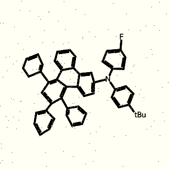 CC(C)(C)c1ccc(N(c2ccc(F)cc2)c2ccc3c(c2)c2ccccc2c2c(C4=CC=CCC4)cc(-c4ccccc4)c(-c4ccccc4)c32)cc1